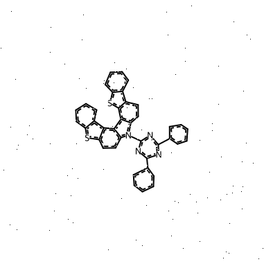 c1ccc(-c2nc(-c3ccccc3)nc(-n3c4ccc5c6ccccc6sc5c4c4c5c(ccc43)sc3ccccc35)n2)cc1